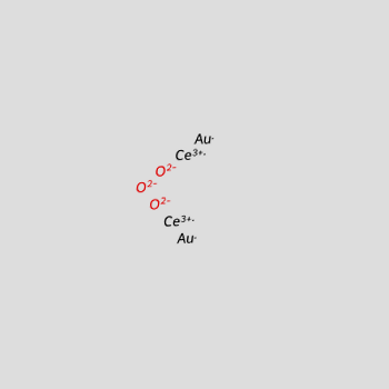 [Au].[Au].[Ce+3].[Ce+3].[O-2].[O-2].[O-2]